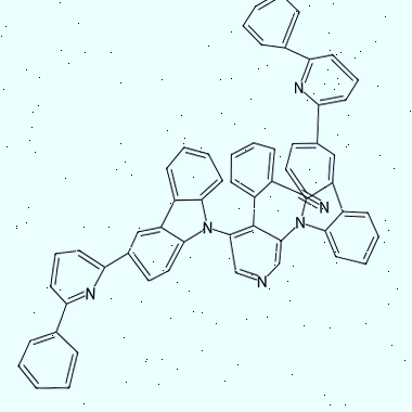 N#Cc1ccccc1-c1c(-n2c3ccccc3c3cc(-c4cccc(-c5ccccc5)n4)ccc32)cncc1-n1c2ccccc2c2cc(-c3cccc(-c4ccccc4)n3)ccc21